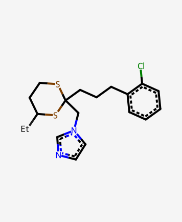 CCC1CCSC(CCCc2ccccc2Cl)(Cn2ccnc2)S1